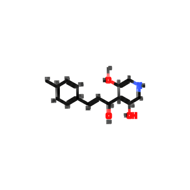 COc1cncc(O)c1C(=O)C=Cc1ccc(C)cc1